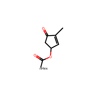 CCCCCCC(=O)OC1C=C(C)C(=O)C1